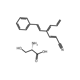 C=CC=C(C=CC#N)C=Cc1ccccc1.N[C@@H](CO)C(=O)O